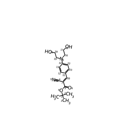 CC(C)(C)OC(=O)/C(C#N)=C/c1ccc(N(CCO)CCO)cc1